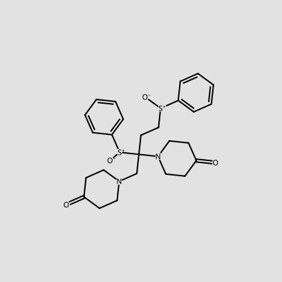 O=C1CCN(CC(CC[S+]([O-])c2ccccc2)(N2CCC(=O)CC2)[S+]([O-])c2ccccc2)CC1